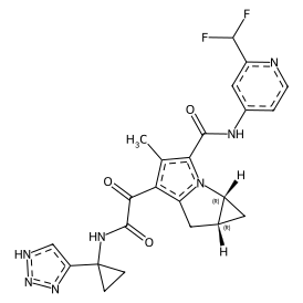 Cc1c(C(=O)C(=O)NC2(c3c[nH]nn3)CC2)c2n(c1C(=O)Nc1ccnc(C(F)F)c1)[C@@H]1C[C@@H]1C2